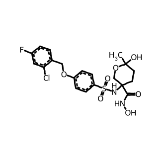 CC1(O)CCC(NS(=O)(=O)c2ccc(OCc3ccc(F)cc3Cl)cc2)(C(=O)NO)CO1